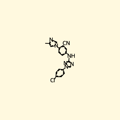 Cc1cn(-c2ccc(Nc3ncn(-c4ccc(Cl)cc4)n3)cc2C#N)cn1